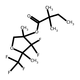 CCC(C)(C)C(=O)OC1(C)COC(C)(C(F)(F)F)C1(F)F